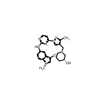 Cc1nn(-c2ccnc(Nc3ccc4c(c3)c(Cl)cn4C)n2)cc1CN1CCC[C@@H](O)C1